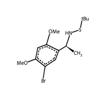 COc1cc(OC)c([C@H](C)NSC(C)(C)C)cc1Br